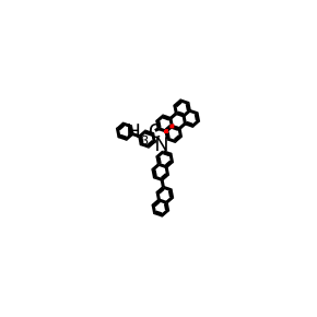 Cc1ccc(-c2cccc3cccc(-c4ccc(N(c5ccc(-c6ccccc6)cc5)c5ccc6cc(-c7ccc8ccccc8c7)ccc6c5)cc4)c23)cc1